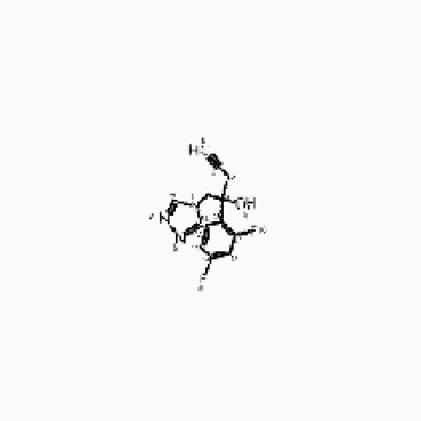 C#CCC(O)(Cn1cnnc1)c1ccc(F)cc1F